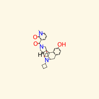 Cn1cccc(C(=O)N2C[C@H]3CC45CCC2C3C42CCN(C3CCC3)C5Cc3ccc(O)cc32)c1=O